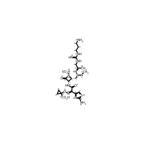 C=NN(C[C@@H]1[C@H](NC(=O)/C(=N\OC2(C(=O)O)CC2)c2csc(N)n2)C(=O)N1S(=O)(=O)O)/N=C(\C)CNC(=N)NCCCN